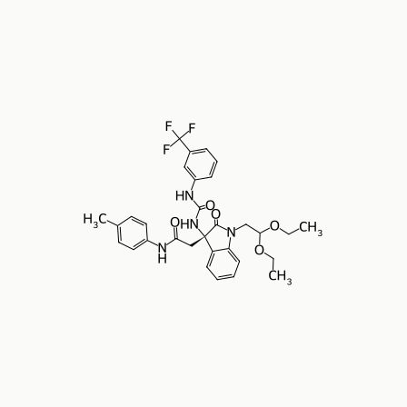 CCOC(CN1C(=O)[C@@](CC(=O)Nc2ccc(C)cc2)(NC(=O)Nc2cccc(C(F)(F)F)c2)c2ccccc21)OCC